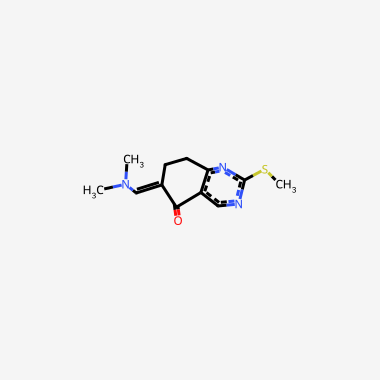 CSc1ncc2c(n1)CCC(=CN(C)C)C2=O